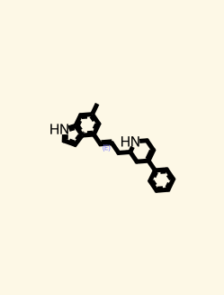 Cc1cc(/C=C/CC2CC(c3ccccc3)=CCN2)c2cc[nH]c2c1